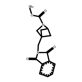 CC(C)(C)OC(=O)N1CC2(CN3C(=O)c4ccccc4C3=O)CC1C2